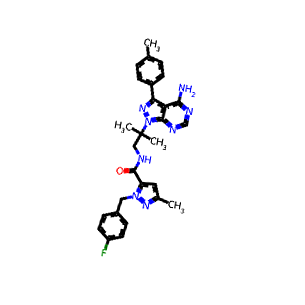 Cc1ccc(-c2nn(C(C)(C)CNC(=O)c3cc(C)nn3Cc3ccc(F)cc3)c3ncnc(N)c23)cc1